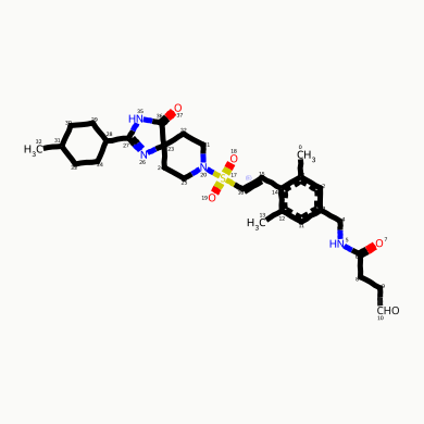 Cc1cc(CNC(=O)CCC=O)cc(C)c1/C=C/S(=O)(=O)N1CCC2(CC1)N=C(C1CCC(C)CC1)NC2=O